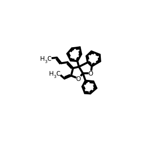 C/C=C/C=C1\C(=C/C)OC2(c3ccccc3)Oc3ccccc3C12c1ccccc1